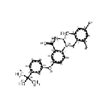 Cc1cc(F)cc(F)c1CN1CNC(=O)c2cc(Oc3cccc(C(C)(C)O)c3)ccc21